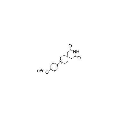 CCCOc1ccc(N2CCC3(CC2)CC(=O)NC(=O)C3)cc1